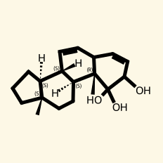 C[C@@]12CCC[C@H]1[C@@H]1C=CC3C=CC(O)C(O)(O)[C@]3(C)[C@H]1CC2